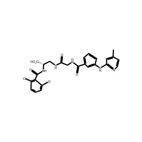 Cc1ccnc(Nc2cccc(C(=O)NCC(=O)NC[C@H](NC(=O)c3c(Cl)cccc3Cl)C(=O)O)c2)c1